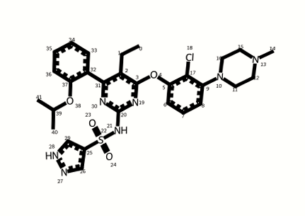 CCc1c(Oc2cccc(N3CCN(C)CC3)c2Cl)nc(NS(=O)(=O)c2cn[nH]c2)nc1-c1ccccc1OC(C)C